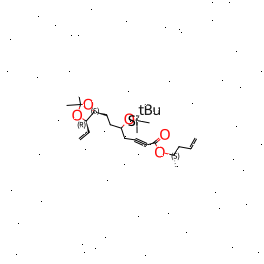 C=CC[C@H](C)OC(=O)C#CCC(CC[C@@H]1OC(C)(C)O[C@@H]1C=C)O[Si](C)(C)C(C)(C)C